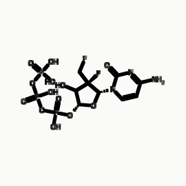 Nc1ccn([C@@H]2O[C@H](OP(=O)(O)OP(=O)(O)OP(=O)(O)O)C(O)[C@]2(F)CF)c(=O)n1